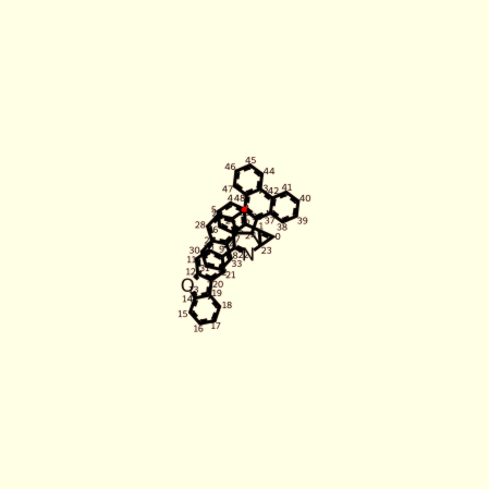 C1=C2c3ccccc3C(c3ccc4oc5ccccc5c4c3)=NC12[C@H]1c2c(ccc3ccccc23)-c2c1c1ccccc1c1ccccc21